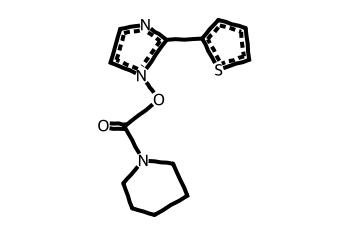 O=C(On1ccnc1-c1cccs1)N1CCCCC1